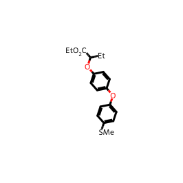 CCOC(=O)C(CC)Oc1ccc(Oc2ccc(SC)cc2)cc1